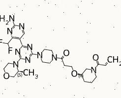 C=CC(=O)N1CCC[C@@H](OCCC(=O)N2CCN(c3nc(-c4cnc(N)nc4C(F)F)nc(N4CCOC[C@@H]4C)n3)CC2)C1